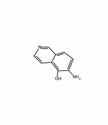 Nc1ccc2cnccc2c1O